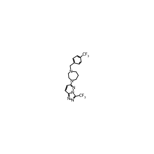 FC(F)(F)c1ccc(CN2CCCN(c3ccc4nnc(C(F)(F)F)n4n3)CC2)cc1